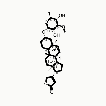 CO[C@H]1[C@H](O)[C@H](O[C@H]2CC[C@]3(C=O)[C@H]4CC[C@]5(C)[C@@H](C6=CC(=O)OC6)CC[C@]5(O)[C@@H]4CC[C@]3(C)C2)O[C@@H](C)[C@@H]1O